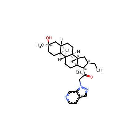 CC[C@@H]1C[C@H]2[C@@H]3CC[C@H]4C[C@](C)(O)CC[C@]4(C)[C@H]3CC[C@]2(C)[C@H]1C(=O)Cn1ncc2ccncc21